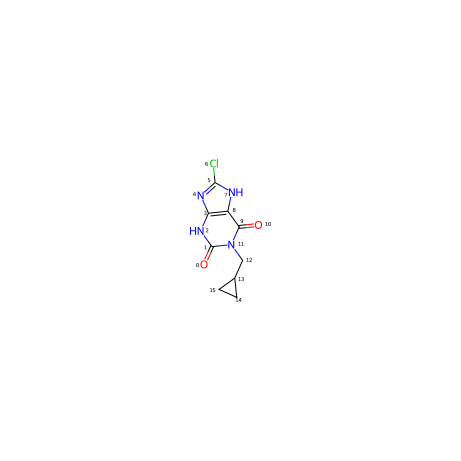 O=c1[nH]c2nc(Cl)[nH]c2c(=O)n1CC1CC1